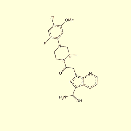 COc1cc(N2CCN(C(=O)Cn3nc(C(=N)N)c4cccnc43)[C@@H](C)C2)c(F)cc1Cl